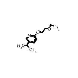 CCOCCOc1ccc(C(C)C)cn1